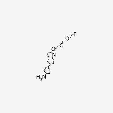 Nc1ccc(-c2ccc3nc(OCCOCCOCCF)ccc3c2)cc1